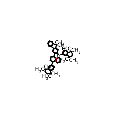 CC1(C)CCC(C)(C)c2cc(-c3ccc(-c4cc5c(cc4N(c4ccccc4)c4ccc6c(c4)C(C)(C)CCC6(C)C)C(C)(C)c4ccccc4-5)cc3)ccc21